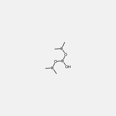 CB(C)OB(O)OB(C)C